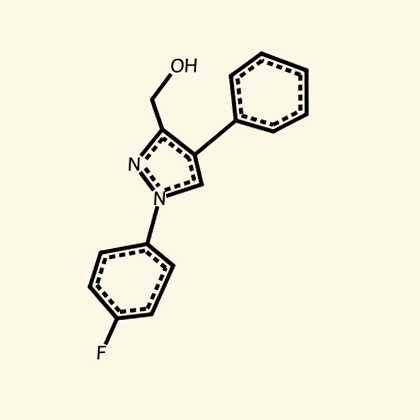 OCc1nn(-c2ccc(F)cc2)cc1-c1ccccc1